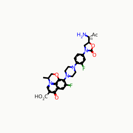 CC(=O)[C@@H](N)C1CN(c2ccc(N3CCN(c4c(F)cc5c(=O)c(C(=O)O)cn6c5c4OCC6C)CC3)c(F)c2)C(=O)O1